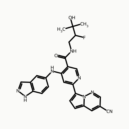 CC(C)(O)C(F)CNC(=O)c1cnc(-c2ccc3cc(C#N)cnn23)cc1Nc1ccc2[nH]ncc2c1